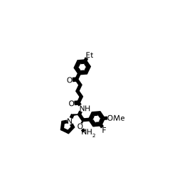 CCc1ccc(C(=O)CCCC(=O)N[C@H](CN2CCCC2)[C@H](ON)c2ccc(OC)c(F)c2)cc1